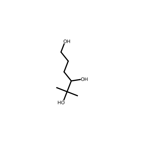 CC(C)(O)C(O)CCCO